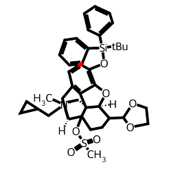 CC(C)(C)[Si](Oc1ccc2c3c1O[C@H]1C(C4OCCO4)CCC4(OS(C)(=O)=O)[C@@H](C2)[N+](C)(CC2CC2)CC[C@]314)(c1ccccc1)c1ccccc1